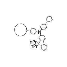 CCCC1(CCC)c2ccccc2-c2ccc(N(c3ccc(-c4ccccc4)cc3)c3ccc(C4CCCCCCCCCCC4)cc3)cc21